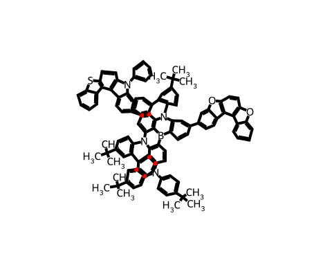 CC(C)(C)c1ccc(N(c2ccc(C(C)(C)C)cc2)c2ccc3c(c2)N(c2ccc(C(C)(C)C)cc2-c2ccccc2)c2cc(-c4ccc5c6c7c(ccc6n(-c6ccccc6)c5c4)sc4ccccc47)cc4c2B3c2ccc(-c3ccc5c(c3)oc3ccc6oc7ccccc7c6c35)cc2N4c2ccc(C(C)(C)C)cc2-c2ccccc2)cc1